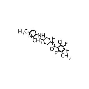 Cc1ccc(NCC2CCC(NC(=O)c3c(F)c(C)c(F)c(F)c3Cl)CC2)c(C)n1